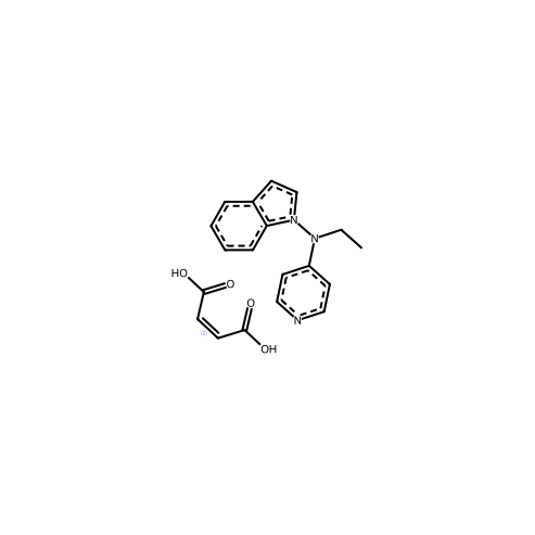 CCN(c1ccncc1)n1ccc2ccccc21.O=C(O)/C=C\C(=O)O